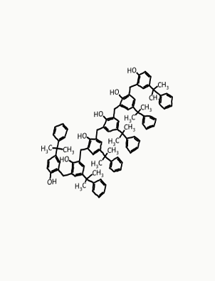 CC(C)(c1ccccc1)c1ccc(O)c(Cc2cc(C(C)(C)c3ccccc3)cc(Cc3cc(C(C)(C)c4ccccc4)cc(Cc4cc(C(C)(C)c5ccccc5)cc(Cc5cc(C(C)(C)c6ccccc6)cc(Cc6cc(C(C)(C)c7ccccc7)ccc6O)c5O)c4O)c3O)c2O)c1